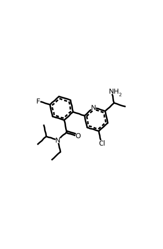 CCN(C(=O)c1cc(F)ccc1-c1cc(Cl)cc(C(C)N)n1)C(C)C